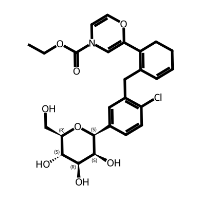 CCOC(=O)N1C=COC(C2=C(Cc3cc([C@@H]4O[C@H](CO)[C@@H](O)[C@H](O)[C@@H]4O)ccc3Cl)C=CCC2)=C1